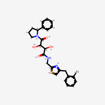 CCc1ccccc1Cc1csc(CNC(=O)C(O)C(O)C(=O)N2CCCC2c2ccccc2)n1